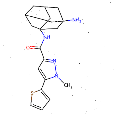 Cn1nc(C(=O)NC23CC4CC(CC(N)(C4)C2)C3)cc1-c1cccs1